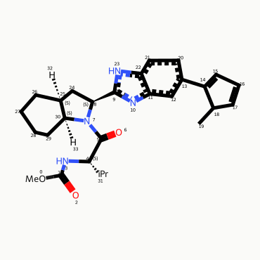 COC(=O)N[C@H](C(=O)N1[C@H](c2nc3cc(C4=CC=CC4C)ccc3[nH]2)C[C@@H]2CCCC[C@@H]21)C(C)C